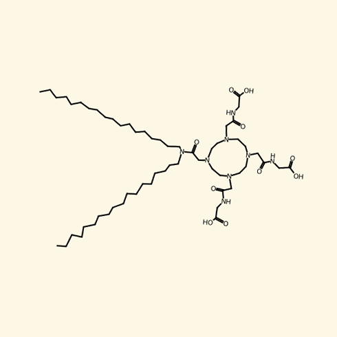 CCCCCCCCCCCCCCCCCCN(CCCCCCCCCCCCCCCCCC)C(=O)CN1CCN(CC(=O)NCC(=O)O)CCN(CC(=O)NCC(=O)O)CCN(CC(=O)NCC(=O)O)CC1